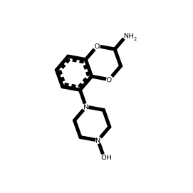 NC1COc2c(cccc2N2CCN(O)CC2)O1